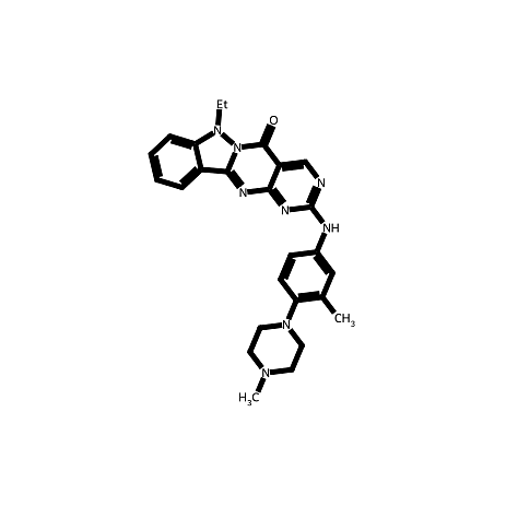 CCn1c2ccccc2c2nc3nc(Nc4ccc(N5CCN(C)CC5)c(C)c4)ncc3c(=O)n21